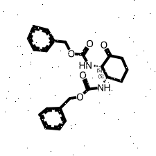 O=C(N[C@H]1CCCC(=O)[C@H]1NC(=O)OCc1ccccc1)OCc1ccccc1